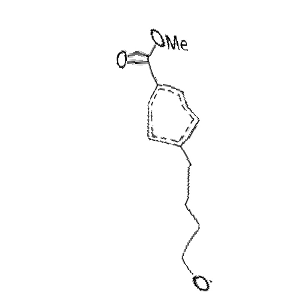 COC(=O)c1ccc(CCCC[O])cc1